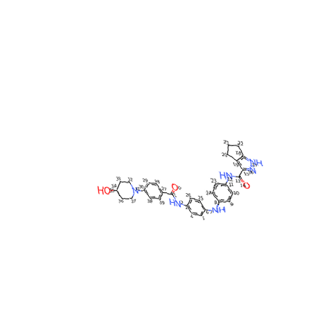 O=C(Nc1ccc(Nc2ccc(NC(=O)c3n[nH]c4c3CCC4)cc2)cc1)c1ccc(N2CCC(O)CC2)cc1